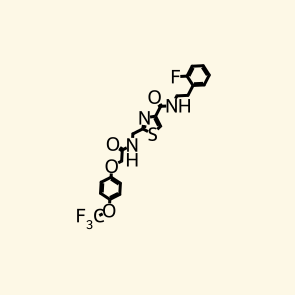 O=C(COc1ccc(OC(F)(F)F)cc1)NCc1nc(C(=O)NCCc2ccccc2F)cs1